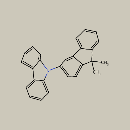 CC1(C)c2ccccc2-c2cc(-n3c4ccccc4c4ccccc43)ccc21